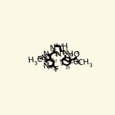 COC(=O)[C@H]1C2CCC(CC2)C1Nc1ccnc(-c2nn(C)c3ncc(F)cc23)n1